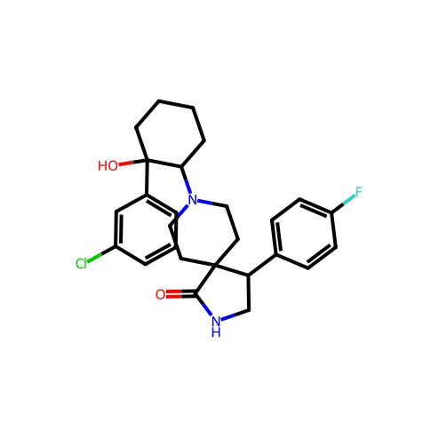 O=C1NCC(c2ccc(F)cc2)C12CCN(C1CCCCC1(O)c1cccc(Cl)c1)CC2